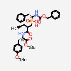 C#CCC(CP(=O)(O)[C@H](Cc1ccccc1)NC(=O)OCc1ccccc1)C(=O)N[C@@H](Cc1ccc(OC(C)(C)C)cc1)C(=O)OC(C)(C)C